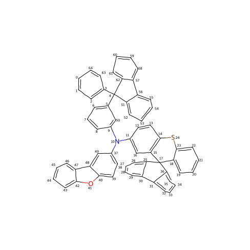 c1ccc(C2(c3cccc(N(c4ccc5c(c4)C4(c6ccccc6S5)c5ccccc5-c5ccccc54)c4ccc5oc6ccccc6c5c4)c3)c3ccccc3-c3ccccc32)cc1